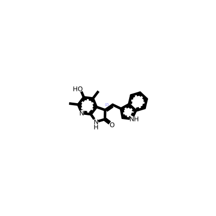 Cc1nc2c(c(C)c1O)/C(=C/c1c[nH]c3ccccc13)C(=O)N2